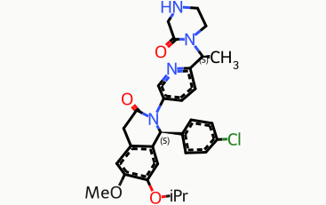 COc1cc2c(cc1OC(C)C)[C@H](c1ccc(Cl)cc1)N(c1ccc([C@H](C)N3CCNCC3=O)nc1)C(=O)C2